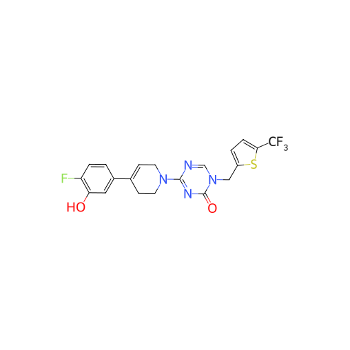 O=c1nc(N2CC=C(c3ccc(F)c(O)c3)CC2)ncn1Cc1ccc(C(F)(F)F)s1